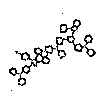 N#Cc1ccc(-n2c(-c3ccc(N(c4ccccc4)c4ccccc4)cc3)nc3c4cccc(-c5cccc(N(c6ccccc6)c6cccc(-c7cc(-c8cccc(N(c9ccccc9)c9ccccc9)c8)cc(-c8nc9ccccc9n8-c8ccccc8)c7)c6)c5)c4c4ccccc4c32)cc1